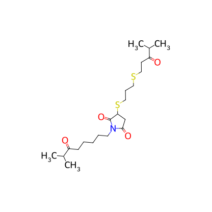 CC(C)C(=O)CCCCCN1C(=O)CC(SCCCSCCC(=O)C(C)C)C1=O